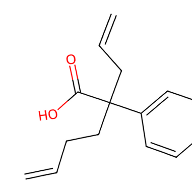 C=CCCC(CC=C)(C(=O)O)c1ccccc1